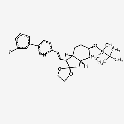 CC(C)(C)[Si](C)(C)O[C@@H]1CC[C@@H]2[C@H](C1)CC1(OCCO1)[C@H]2/C=C/c1ccc(-c2cccc(F)c2)cn1